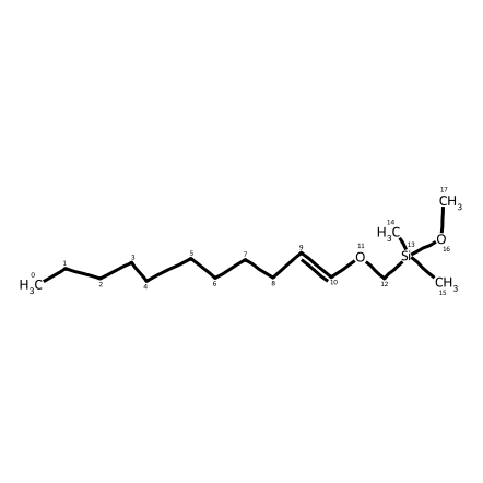 CCCCCCCCCC=COC[Si](C)(C)OC